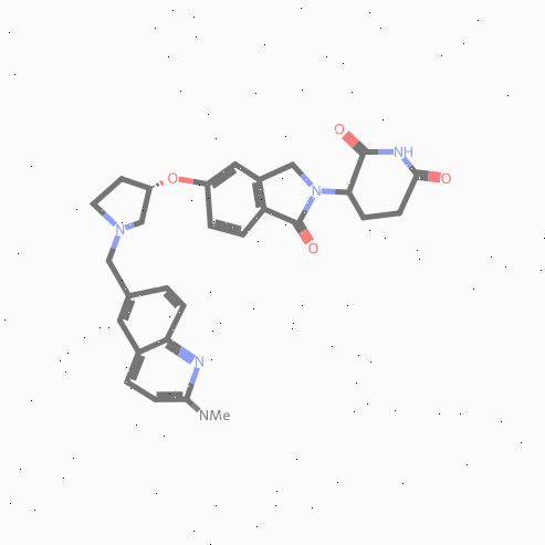 CNc1ccc2cc(CN3CC[C@H](Oc4ccc5c(c4)CN(C4CCC(=O)NC4=O)C5=O)C3)ccc2n1